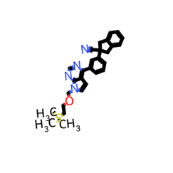 CS(C)(C)CCOCn1ccc2c(-c3cccc(C4(C#N)Cc5ccccc5C4)c3)ncnc21